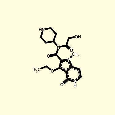 Cn1c(C(=O)N(C(=O)CO)C2CCNCC2)c(OCC(F)(F)F)c2c(=O)[nH]ccc21